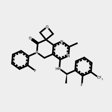 Cc1nc(N[C@H](C)c2cccc(C(F)(F)F)c2F)c2c(n1)C1(COC1)C(=O)N(c1ccccc1F)C2